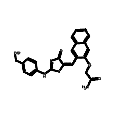 NC(=O)COc1cc2ccccc2cc1C=C1SC(Nc2ccc(C[C]=O)cc2)=NC1=O